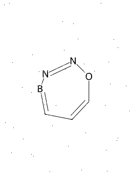 B1=CC=CON=N1